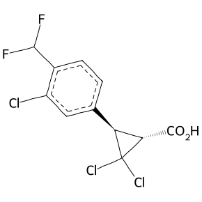 O=C(O)[C@H]1[C@H](c2ccc(C(F)F)c(Cl)c2)C1(Cl)Cl